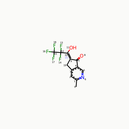 Cc1cc2c(cn1)C(=O)/C(=C(\O)C(F)(F)C(F)(F)F)C2